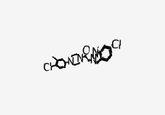 Cc1cc(N2CCN(C(=O)Cn3cc4ccc(Cl)cc4n3)CC2)ccc1Cl